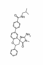 CC(C)CNC(=O)c1ccc(-c2ccc3c(c2)C2(CC(c4ccccc4)O3)N=C(N)N(C)C2=O)cc1